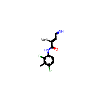 CN/C(=C\C=N)C(=O)Nc1ccc(Br)c(C)c1F